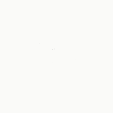 CC(=O)[C@H](O)[C@@H](O)C(=O)NCN